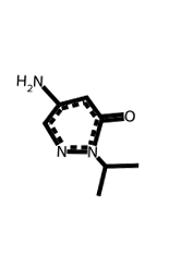 CC(C)n1ncc(N)cc1=O